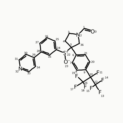 O=CN1CCC(c2ccc(C(F)(C(F)(F)F)C(F)(F)F)cc2)([S+]([O-])c2cccc(-c3ccncc3)c2)C1